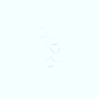 CCN1CCN(S(=O)(=O)c2cc(-c3cnc(N)nc3C)ccc2Cl)CC1